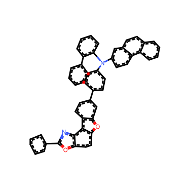 c1ccc(-c2nc3c(ccc4oc5cc(-c6ccc(N(c7ccc8c(ccc9ccccc98)c7)c7ccccc7-c7ccccc7)cc6)ccc5c43)o2)cc1